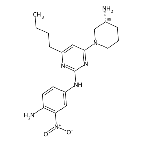 CCCCc1cc(N2CCC[C@@H](N)C2)nc(Nc2ccc(N)c([N+](=O)[O-])c2)n1